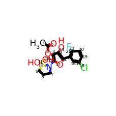 CC(=O)Oc1c(N2CCCS2(O)O)oc(-c2cc(Cl)ccc2F)c1O